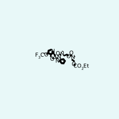 CCOC(=O)OCCN(C)C(=O)OCCN(C)C(=O)n1c([S+]([O-])Cc2nccc(OCC(F)(F)F)c2C)nc2ccccc21